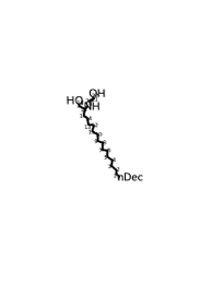 CCCCCCCCCCCCCCCCCCCCCCCCCC(CO)NCCO